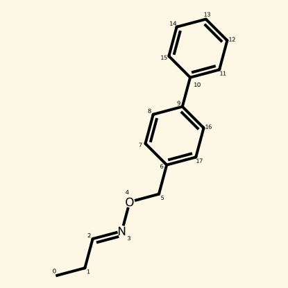 CCC=NOCc1ccc(-c2ccccc2)cc1